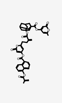 C=C(C)C(=O)Oc1cccc2c(C(=O)Oc3cc(CCC(=C)C(=O)OC45CC6CC(C4)CC(C(=O)Oc4cc(C)oc(=O)c4)(C6)C5)oc(=O)c3)cccc12